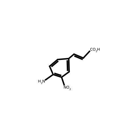 Nc1ccc(C=CC(=O)O)cc1[N+](=O)[O-]